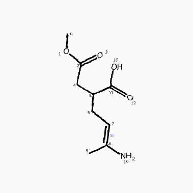 COC(=O)CC(C/C=C(\C)N)C(=O)O